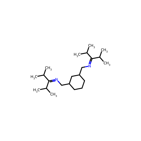 CC(C)C(=NCC1CCCC(CN=C(C(C)C)C(C)C)C1)C(C)C